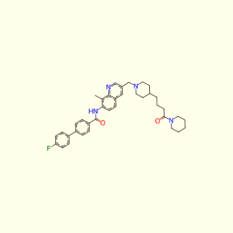 Cc1c(NC(=O)c2ccc(-c3ccc(F)cc3)cc2)ccc2cc(CN3CCC(CCCC(=O)N4CCCCC4)CC3)cnc12